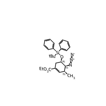 CCOC(=O)C1=C[C@H](C)[C@H](N=[N+]=[N-])[C@H](O[Si](c2ccccc2)(c2ccccc2)C(C)(C)C)C1